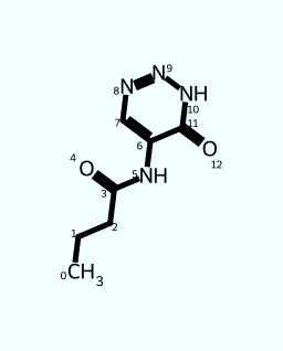 CCCC(=O)Nc1cnn[nH]c1=O